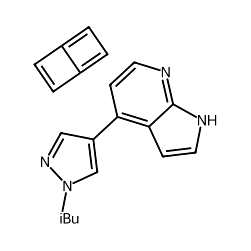 CCC(C)n1cc(-c2ccnc3[nH]ccc23)cn1.c1cc2ccc1-2